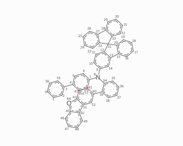 c1ccc(-c2ccc(N(c3ccc4c(c3)-c3ccccc3C43c4ccccc4-c4ccccc43)c3ccccc3-c3ccc4oc5ccccc5c4c3)cc2)cc1